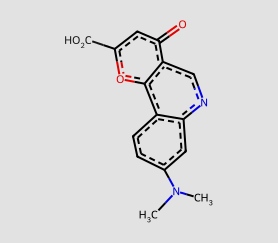 CN(C)c1ccc2c(c1)ncc1c(=O)cc(C(=O)O)oc12